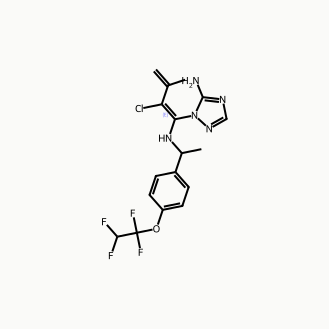 C=C(C)/C(Cl)=C(/NC(C)c1ccc(OC(F)(F)C(F)F)cc1)n1ncnc1N